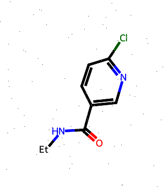 CCNC(=O)c1ccc(Cl)nc1